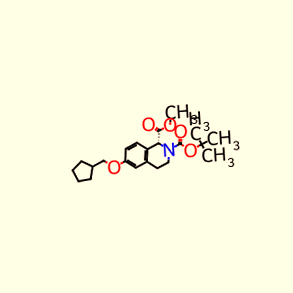 COC(=O)[C@H]1c2ccc(OCC3CCCC3)cc2CCN1C(=O)OC(C)(C)C